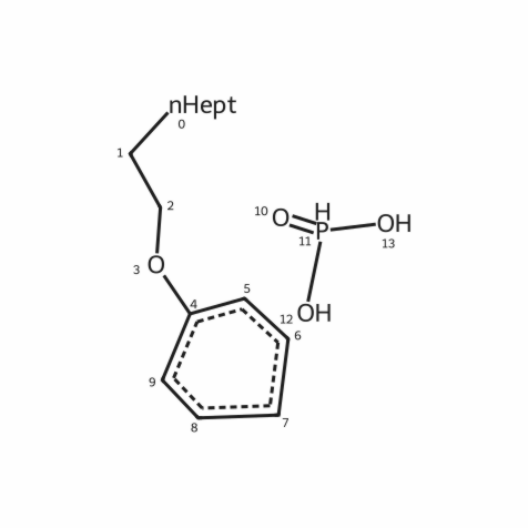 CCCCCCCCCOc1ccccc1.O=[PH](O)O